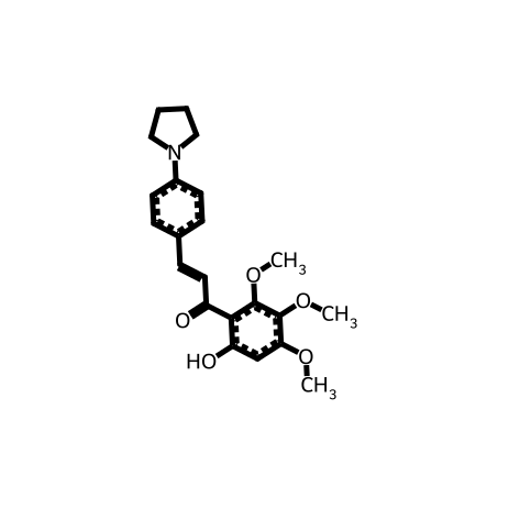 COc1cc(O)c(C(=O)/C=C/c2ccc(N3CCCC3)cc2)c(OC)c1OC